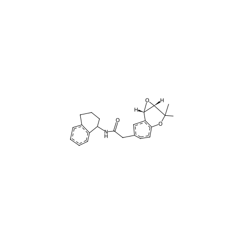 CC1(C)Oc2ccc(CC(=O)NC3CCCc4ccccc43)cc2[C@@H]2O[C@@H]21